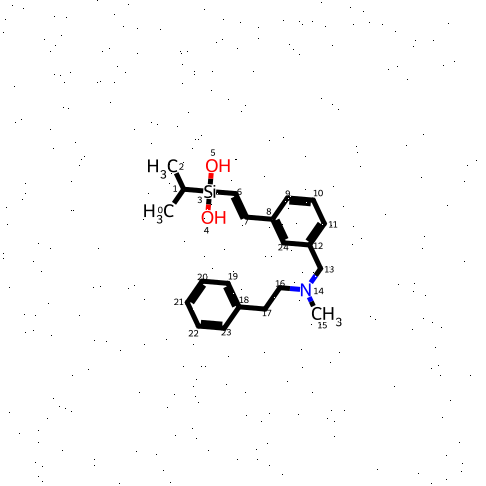 CC(C)[Si](O)(O)C=Cc1cccc(CN(C)CCc2ccccc2)c1